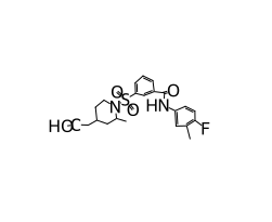 Cc1cc(NC(=O)c2cccc(S(=O)(=O)N3CCC(CCO)CC3C)c2)ccc1F